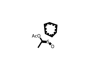 CC(=O)OC(C)=S=O.c1ccccc1